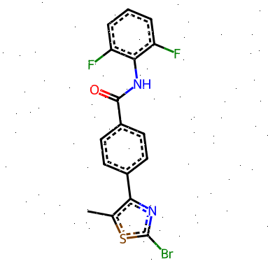 Cc1sc(Br)nc1-c1ccc(C(=O)Nc2c(F)cccc2F)cc1